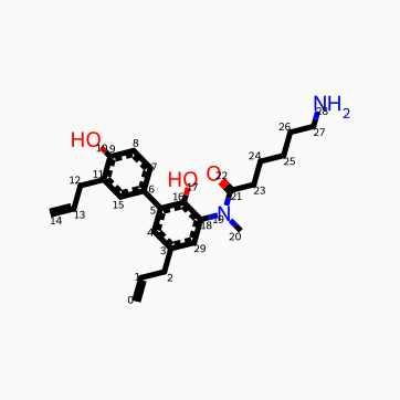 C=CCc1cc(-c2ccc(O)c(CC=C)c2)c(O)c(N(C)C(=O)CCCCCN)c1